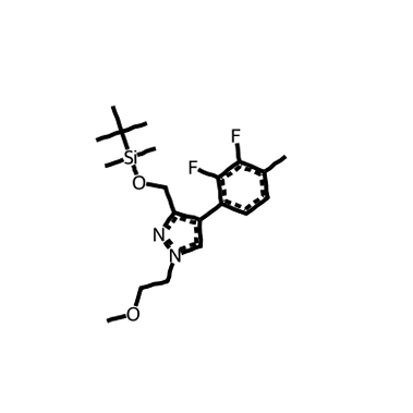 COCCn1cc(-c2ccc(C)c(F)c2F)c(CO[Si](C)(C)C(C)(C)C)n1